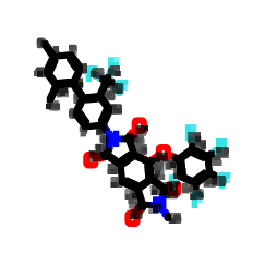 Cc1ccc(-c2ccc(-n3c(=O)c4cc5c(=O)n(C)c(=O)c5c(Oc5c(F)c(F)c(F)c(F)c5F)c4c3=O)cc2C(F)(F)F)c(C)c1